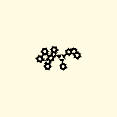 c1ccc(-c2nc(-c3ccc4ccc5ccccc5c4c3)nc(-n3c4ccccc4c4c5c6c(cc43)c3ccccc3n6-c3ccccc3-c3ccccc3-5)n2)cc1